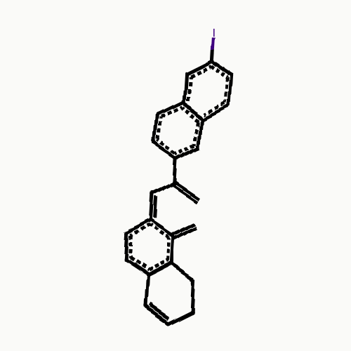 C=C(/C=c1/ccc2c(c1=C)CCC=C2)c1ccc2cc(I)ccc2c1